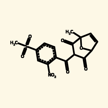 CC12C=CC(O1)C(=O)C(C(=O)c1ccc(S(C)(=O)=O)cc1[N+](=O)[O-])C2=O